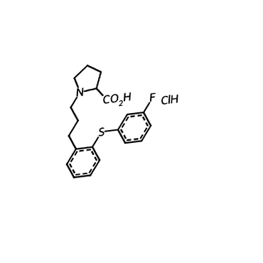 Cl.O=C(O)C1CCCN1CCCc1ccccc1Sc1cccc(F)c1